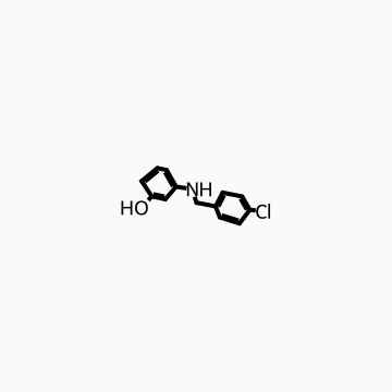 Oc1cccc(NCc2ccc(Cl)cc2)c1